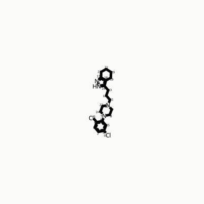 Clc1ccc(Cl)c(N2CCN(CCCc3[nH]nc4c3CCCC4)CC2)c1